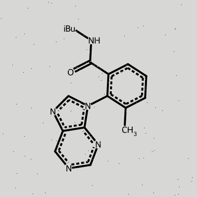 CCC(C)NC(=O)c1cccc(C)c1-n1cnc2cncnc21